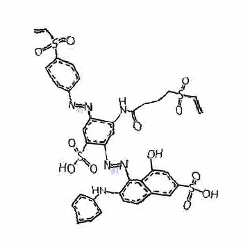 C=CS(=O)(=O)CCCC(=O)Nc1cc(/N=N/c2c(Nc3ccccc3)ccc3cc(S(=O)(=O)O)cc(O)c23)c(S(=O)(=O)O)cc1/N=N/c1ccc(S(=O)(=O)C=C)cc1